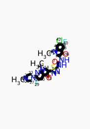 CCn1cc(NC(=O)Nc2nnc(-c3cn(CC)c4nc(N5CCN(C)CC5)c(F)cc4c3=O)s2)c(=O)c2cc(F)c(Cl)cc21